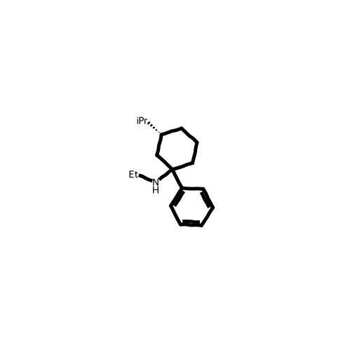 CCNC1(c2ccccc2)CCC[C@@H](C(C)C)C1